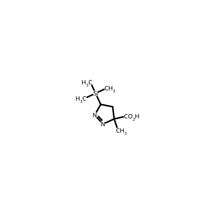 CC1(C(=O)O)CC([Si](C)(C)C)N=N1